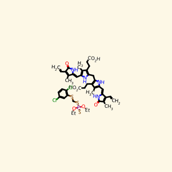 C=CC1=C(C)/C(=C/c2[nH]c(Cc3[nH]c(/C=C4\NC(=O)C(C)=C4C=C)c(C)c3CCC(=O)O)c(CCC(=O)O)c2C)NC1=O.CCOP(=S)(OCC)SCSc1cc(Cl)ccc1Cl